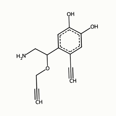 C#CCOC(CN)c1cc(O)c(O)cc1C#C